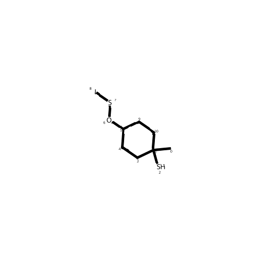 CC1(S)CCC(OSI)CC1